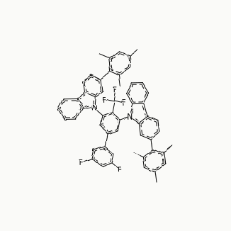 Cc1cc(C)c(-c2ccc3c4ccccc4n(-c4cc(-c5cc(F)cc(F)c5)cc(-n5c6ccccc6c6ccc(-c7c(C)cc(C)cc7C)cc65)c4C(F)(F)F)c3c2)c(C)c1